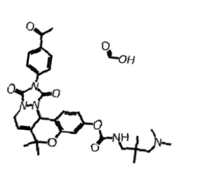 CC(=O)c1ccc(-n2c(=O)n3n(c2=O)C2C(=CC3)C(C)(C)Oc3cc(OC(=O)NCC(C)(C)CN(C)C)ccc32)cc1.O=CO